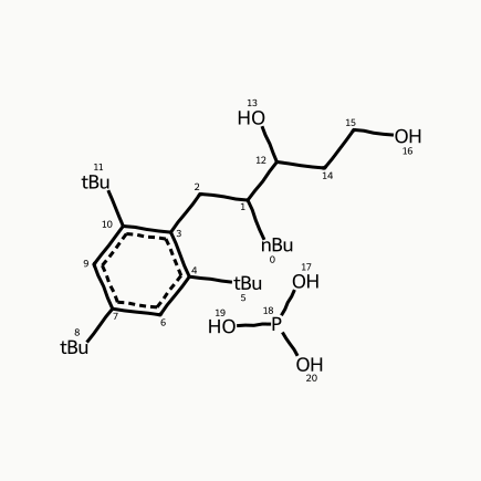 CCCCC(Cc1c(C(C)(C)C)cc(C(C)(C)C)cc1C(C)(C)C)C(O)CCO.OP(O)O